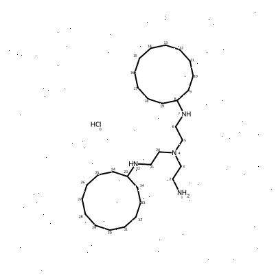 Cl.NCCN(CCNC1CCCCCCCCCCC1)CCNC1CCCCCCCCCCC1